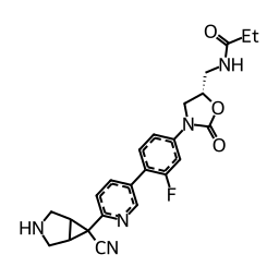 CCC(=O)NC[C@H]1CN(c2ccc(-c3ccc(C4(C#N)C5CNCC54)nc3)c(F)c2)C(=O)O1